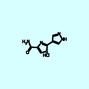 Cl.NC(=O)c1csc(-c2cn[nH]c2)n1